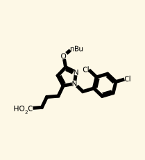 CCCCOc1cc(CCCC(=O)O)n(Cc2ccc(Cl)cc2Cl)n1